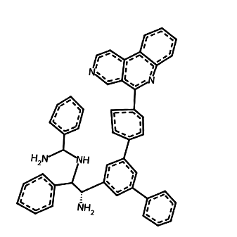 NC(NC(c1ccccc1)[C@@H](N)c1cc(-c2ccccc2)cc(-c2ccc(-c3nc4ccccc4c4ccncc34)cc2)c1)c1ccccc1